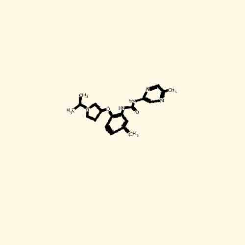 Cc1ccc(OC2CCN(C(C)C)C2)c(NC(=O)Nc2cnc(C)cn2)c1